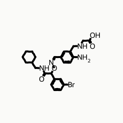 Nc1ccc(/C=N\OC(C(=O)NCC2CCCCC2)c2cccc(Br)c2)cc1CNCC(=O)O